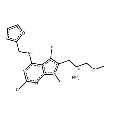 COC[C@H](N)Cc1c(F)c2c(NCc3ccco3)nc(Cl)nc2n1C